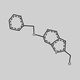 ClCc1cc2ccc(OCc3ccccc3)cc2s1